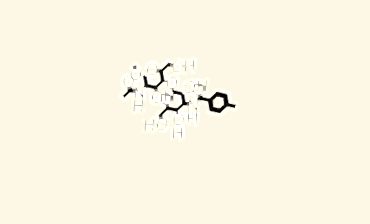 CO[C@@H]1OC(CO)[C@@H](O[C@@H]2OC(CO)[C@H](O)C(NC(=O)c3ccc(C)cc3)C2O)C(O)C1NC(C)=O